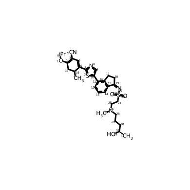 CC(C)OC1=C(C#N)C=C(c2ncc(-c3cccc4c3CC/C4=N/S(=O)(=O)CCN(C)CCC[C@@H](C)O)s2)C(C)C1